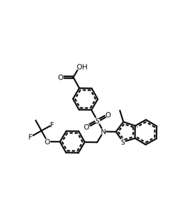 Cc1c(N(Cc2ccc(OC(C)(F)F)cc2)S(=O)(=O)c2ccc(C(=O)O)cc2)sc2ccccc12